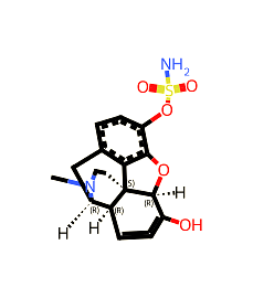 CN1CC[C@]23c4c5ccc(OS(N)(=O)=O)c4O[C@H]2C(O)=C=C[C@H]3[C@H]1C5